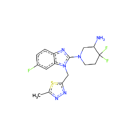 Cc1nnc(Cn2c(N3CCC(F)(F)C(N)C3)nc3ccc(F)cc32)s1